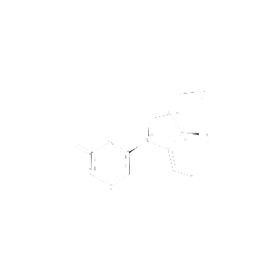 O=c1nc([C@H]2O[C@H](CO)[C@@H](O)C2=CF)cc[nH]1